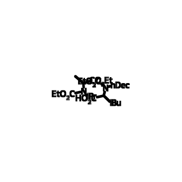 CCCCCCCCCCN(C(=O)OCC)C(C(=O)O)C(C)CC.CCOC(=O)C(C)N(C(=O)OCC)C(C)C